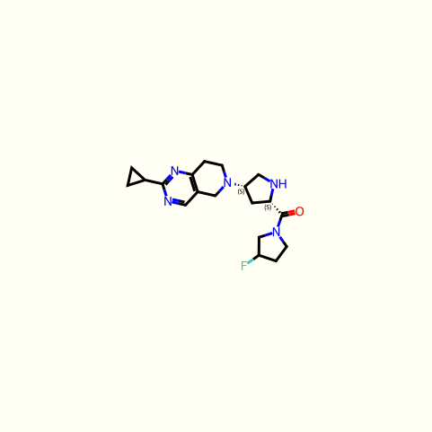 O=C([C@@H]1C[C@H](N2CCc3nc(C4CC4)ncc3C2)CN1)N1CCC(F)C1